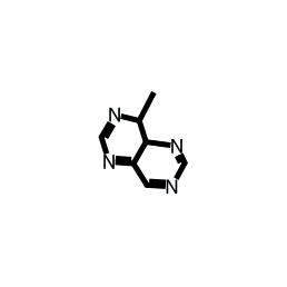 CC1N=CN=C2C=NC=NC21